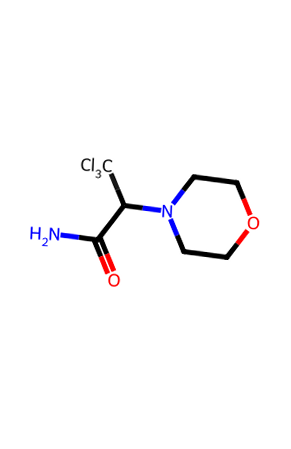 NC(=O)C(N1CCOCC1)C(Cl)(Cl)Cl